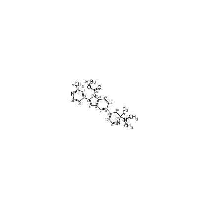 Cc1cc(-c2cc3cc(C4=CC=NC(C)(N(C)C)C4)ccc3n2C(=O)OC(C)(C)C)ccn1